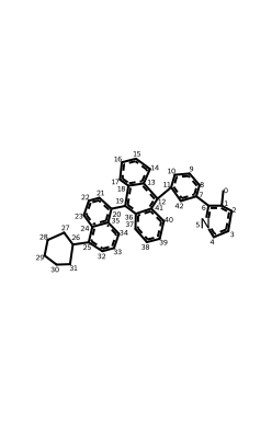 Cc1cccnc1-c1cccc(-c2c3ccccc3c(-c3cccc4c(C5CCCCC5)cccc34)c3ccccc23)c1